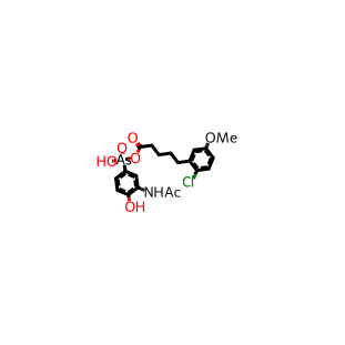 COc1ccc(Cl)c(CCCCC(=O)O[As](=O)(O)c2ccc(O)c(NC(C)=O)c2)c1